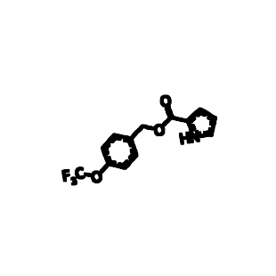 O=C(OCc1ccc(OC(F)(F)F)cc1)c1ccc[nH]1